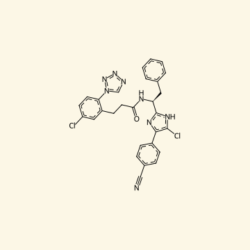 N#Cc1ccc(-c2nc([C@H](Cc3ccccc3)NC(=O)CCc3cc(Cl)ccc3-n3cnnn3)[nH]c2Cl)cc1